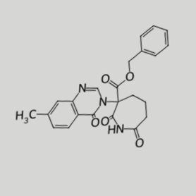 Cc1ccc2c(=O)n(C3(C(=O)OCc4ccccc4)CCCC(=O)NC3=O)cnc2c1